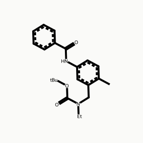 CCN(Cc1cc(NC(=O)c2ccccc2)ccc1C)C(=O)OC(C)(C)C